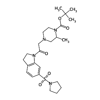 CC1CN(CC(=O)N2CCc3ccc(S(=O)(=O)N4CCCC4)cc32)CCN1C(=O)OC(C)(C)C